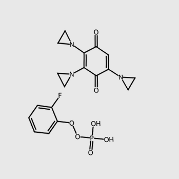 O=C1C=C(N2CC2)C(=O)C(N2CC2)=C1N1CC1.O=P(O)(O)OOc1ccccc1F